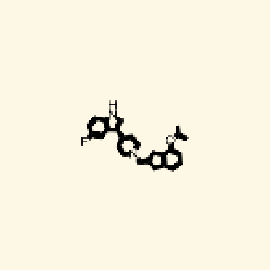 CC(C)Oc1cccc2c1CC(CN1CCC(c3c[nH]c4ccc(F)cc34)CC1)C2